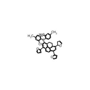 Cc1ccc(B(c2cc(-c3ccco3)c3ccc4c(-c5ccco5)cc(C5CC=CO5)c5c4c3c2CC5)c2c(C)cc(C)cc2C)c(C)c1